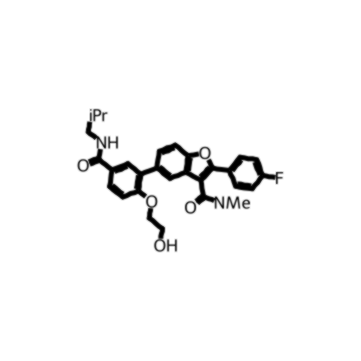 CNC(=O)c1c(-c2ccc(F)cc2)oc2ccc(-c3cc(C(=O)NCC(C)C)ccc3OCCO)cc12